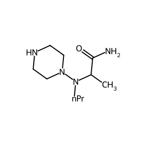 CCCN(C(C)C(N)=O)N1CCNCC1